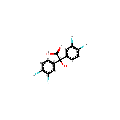 O=C(O)C(O)(c1ccc(F)c(F)c1)c1ccc(F)c(F)c1